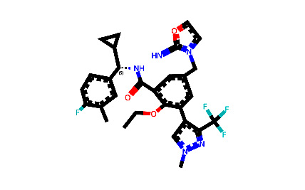 CCOc1c(C(=O)N[C@H](c2ccc(F)c(C)c2)C2CC2)cc(Cn2ccoc2=N)cc1-c1cn(C)nc1C(F)(F)F